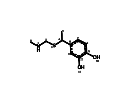 CNCSC(C)c1ccc(O)c(O)c1